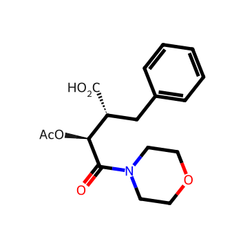 CC(=O)O[C@H](C(=O)N1CCOCC1)[C@@H](Cc1ccccc1)C(=O)O